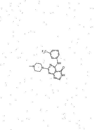 CN1CCN(c2cc3nc[nH]c(=O)c3c(Nc3cccc(C(F)(F)F)c3)n2)CC1